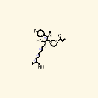 C=CC(=O)N1CCCN(/C(C(=N)S/C=C/C=C/C=C(/F)C=N)=C(\N=C)c2ccc(F)cc2)C1